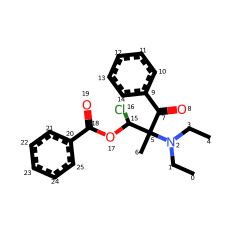 CCN(CC)C(C)(C(=O)c1ccccc1)C(Cl)OC(=O)c1ccccc1